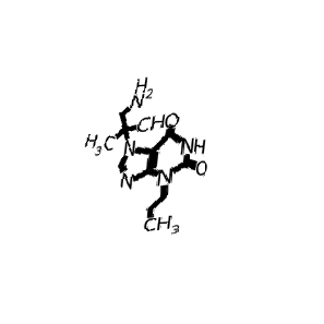 CCCn1c(=O)[nH]c(=O)c2c1ncn2C(C)(C)CN